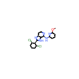 COc1cccc(Nc2nccc3nc(-c4c(Cl)cccc4Cl)[nH]c23)n1